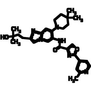 Cc1cc(-c2nc(C(=O)Nc3cn4cc(CCC(C)(C)O)nc4cc3N3CCC(C)(C)CC3)co2)ccn1